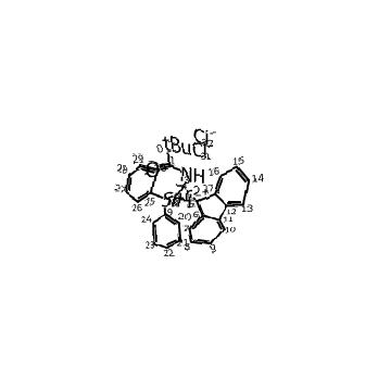 CC(C)(C)C(=O)[NH][Zr+2]([CH]1c2ccccc2-c2ccccc21)[SiH](c1ccccc1)c1ccccc1.[Cl-].[Cl-]